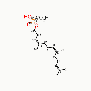 CC(C)=CCCC(C)=CCCC(C)=CCCOP(=O)(O)C(=O)O